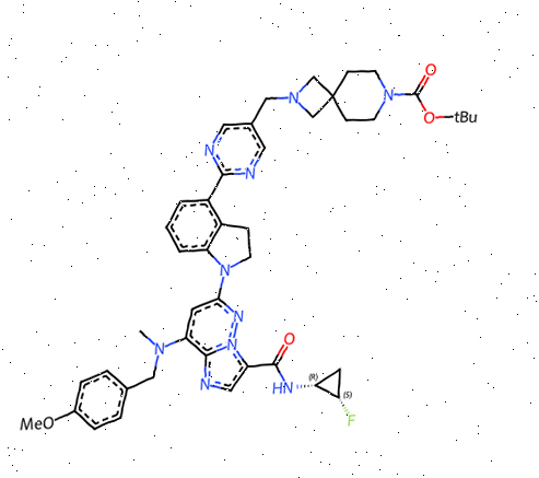 COc1ccc(CN(C)c2cc(N3CCc4c(-c5ncc(CN6CC7(CCN(C(=O)OC(C)(C)C)CC7)C6)cn5)cccc43)nn3c(C(=O)N[C@@H]4C[C@@H]4F)cnc23)cc1